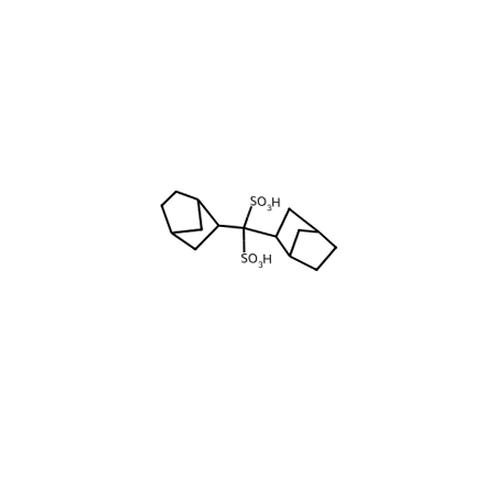 O=S(=O)(O)C(C1CC2CCC1C2)(C1CC2CCC1C2)S(=O)(=O)O